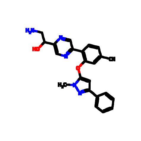 Cn1nc(-c2ccccc2)cc1Oc1cc(C#N)ccc1-c1cnc(C(O)CN)cn1